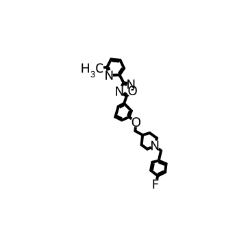 Cc1cccc(-c2noc(-c3cccc(OCC4CCN(Cc5ccc(F)cc5)CC4)c3)n2)n1